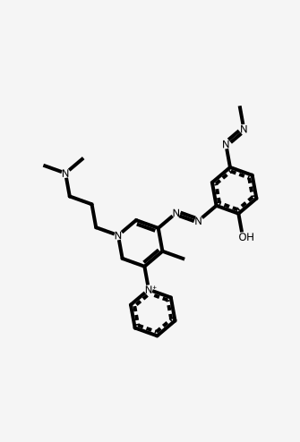 CN=Nc1ccc(O)c(N=NC2=CN(CCCN(C)C)CC([n+]3ccccc3)=C2C)c1